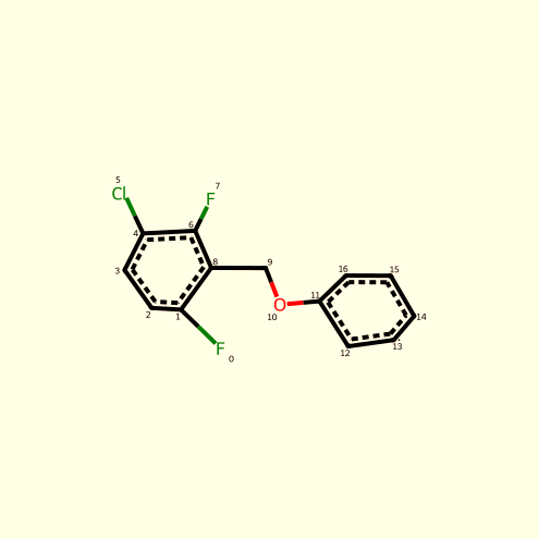 Fc1ccc(Cl)c(F)c1COc1c[c]ccc1